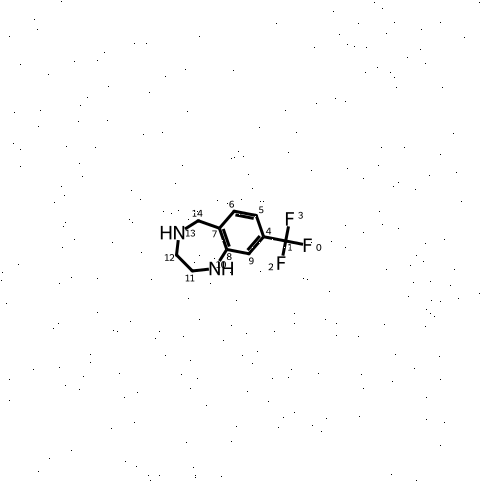 FC(F)(F)c1ccc2c(c1)NCCNC2